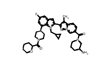 Cc1c(-c2cc3cc(F)cc(C4CCN(C(=O)C5CCCCO5)CC4)c3n2CC2CC2)nn2cc(C(=O)N3CCCC(N)C3)ccc12